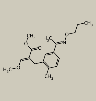 CCCO/N=C(\C)c1ccc(C)c(C/C(=C\OC)C(=O)OC)c1